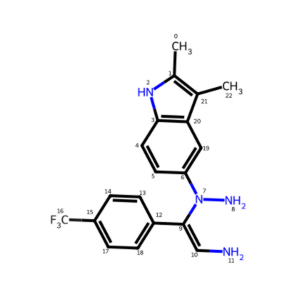 Cc1[nH]c2ccc(N(N)/C(=C\N)c3ccc(C(F)(F)F)cc3)cc2c1C